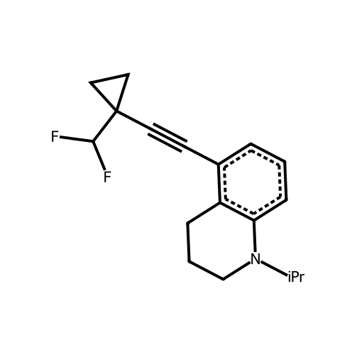 CC(C)N1CCCc2c(C#CC3(C(F)F)CC3)cccc21